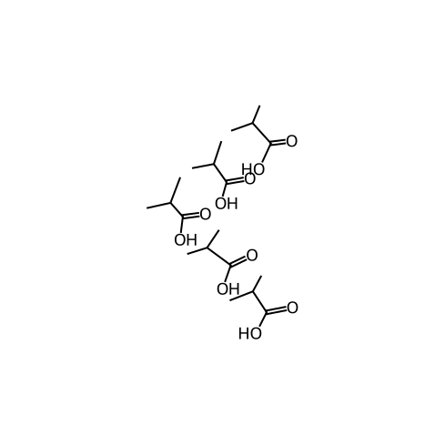 CC(C)C(=O)O.CC(C)C(=O)O.CC(C)C(=O)O.CC(C)C(=O)O.CC(C)C(=O)O